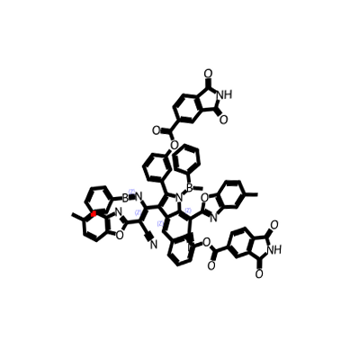 CB(c1ccccc1)n1c(-c2cccc(OC(=O)c3ccc4c(c3)C(=O)NC4=O)c2)c(C(/N=B\c2ccccc2)=C(\C#N)c2nc3cc(C)ccc3o2)c(=C/c2cccc(OC(=O)c3ccc4c(c3)C(=O)NC4=O)c2)/c1=C(\C#N)c1nc2cc(C)ccc2o1